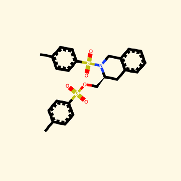 Cc1ccc(S(=O)(=O)OC[C@@H]2Cc3ccccc3CN2S(=O)(=O)c2ccc(C)cc2)cc1